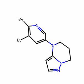 CCCc1ncc(N2CCCn3nccc32)cc1CC